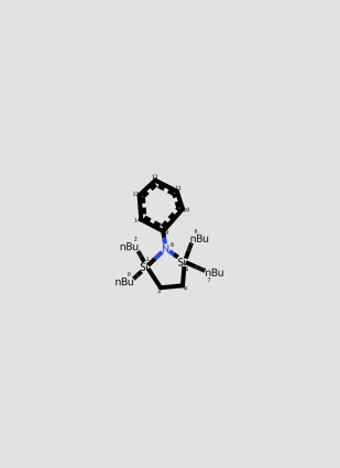 CCCC[Si]1(CCCC)CC[Si](CCCC)(CCCC)N1c1ccccc1